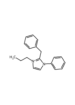 CCC[n+]1ccn(-c2ccccc2)c1Cc1ccccc1